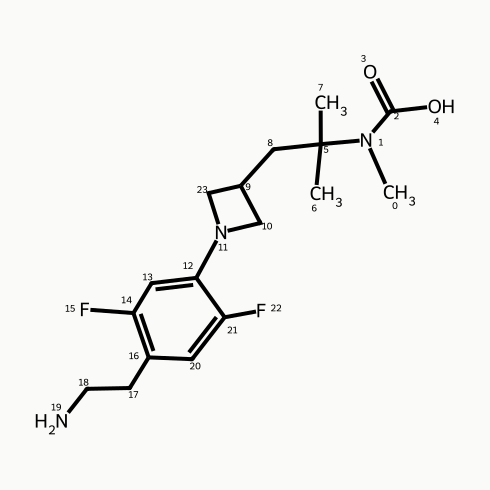 CN(C(=O)O)C(C)(C)CC1CN(c2cc(F)c(CCN)cc2F)C1